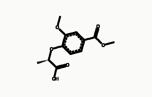 COC(=O)c1ccc(O[C@@H](C)C(=O)O)c(OC)c1